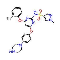 CCC(C)c1ccccc1Oc1cc(Oc2ccc(N3CCNCC3)cc2)nc(NS(=O)(=O)c2cnn(C)c2)n1